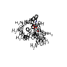 CNC(=O)c1ccccc1Sc1ccc2c(/C=C/c3ccccn3)nn(C(=O)N(CCO)CCC(=O)N[C@@H](CCN)C(=O)N[C@H](C(=O)N[C@H](CCN)C(=O)N[C@H]3CCNC(=O)[C@@H]([C@@H](C)O)NC(=O)[C@@H](CCN)NC(=O)[C@@H](CCN)NC(=O)[C@@H](CC(C)C)NC(=O)[C@@H](Cc4ccccc4)NC(=O)[C@@H](CCN)NC3=O)[C@@H](C)O)c2c1